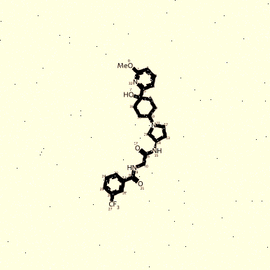 COc1cccc(C2(O)CCC(N3CC[C@@H](NC(=O)CNC(=O)c4cccc(C(F)(F)F)c4)C3)CC2)n1